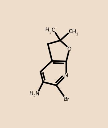 CC1(C)Cc2cc(N)c(Br)nc2O1